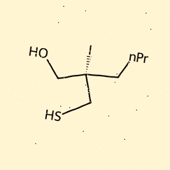 CCCC[C@](I)(CO)CS